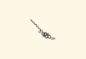 CCCCCCCCCCCC(=O)OC1CC[C@H]2[C@@H]3CC=C4CC(O)CC[C@]4(C)[C@H]3CC[C@]12C